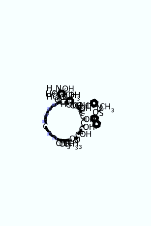 C[C@@H]1[C@H](O)[C@@H](C)/C=C/C=C/CC/C=C/C=C/C=C/C=C/[C@H](O[C@@H]2O[C@H](C)[C@@H](O)[C@H](N)[C@@H]2O)C[C@@H]2O[C@](O)(C[C@@H](O)[C@H](O)CC[C@@H](O)C[C@@H](O)C[C@@H](O)CC(=O)O[C@H]1C)C[C@H](O)[C@H]2C(=O)O.Cc1cccc(N(C)C(=S)Oc2ccc3ccccc3c2)c1